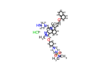 Cc1nn(C)c(COc2ccc(N3CCN(S(=O)(=O)N(C)C)CC3)cc2)c1-c1cccc2c(CCCOc3cccc4ccccc34)c(C(=O)O)n(CCN3CCNCC3)c12.Cl